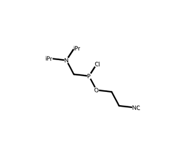 [C-]#[N+]CCOP(Cl)CN(C(C)C)C(C)C